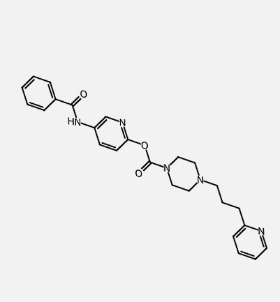 O=C(Nc1ccc(OC(=O)N2CCN(CCCc3ccccn3)CC2)nc1)c1ccccc1